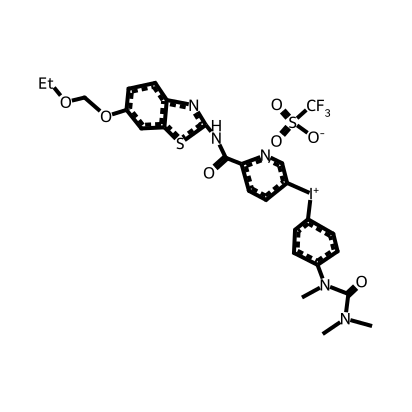 CCOCOc1ccc2nc(NC(=O)c3ccc([I+]c4ccc(N(C)C(=O)N(C)C)cc4)cn3)sc2c1.O=S(=O)([O-])C(F)(F)F